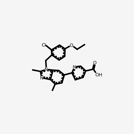 CCOc1ccc(Cn2c(C)nc3c(C)cc(-c4ccc(C(=O)O)cn4)cc32)c(Cl)c1